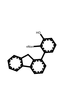 CCCCCCCCCc1c(O)cccc1-c1cccc2c1Cc1ccccc1-2